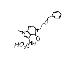 Cn1cc(NC(=O)O)c2c(=O)n(CCOCc3ccccc3)ccc21